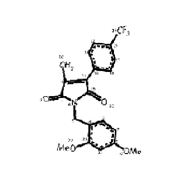 COc1ccc(CN2C(=O)C(C)=C(c3ccc(C(F)(F)F)cc3)C2=O)c(OC)c1